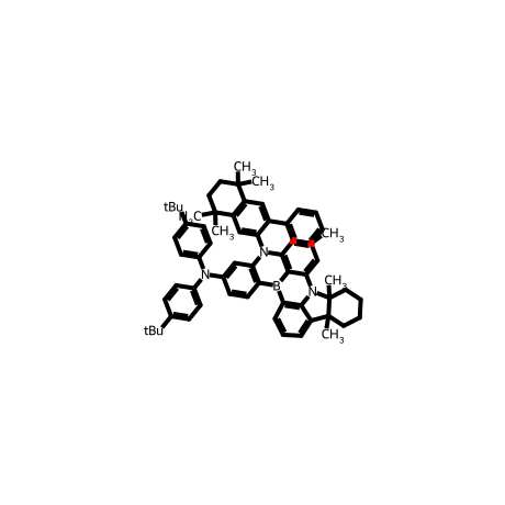 Cc1cc2c3c(c1)N1c4c(cccc4C4(C)CCCCC14C)B3c1ccc(N(c3ccc(C(C)(C)C)cc3)c3ccc(C(C)(C)C)cc3)cc1N2c1cc2c(cc1-c1ccccc1)C(C)(C)CCC2(C)C